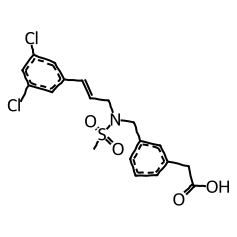 CS(=O)(=O)N(C/C=C/c1cc(Cl)cc(Cl)c1)Cc1cccc(CC(=O)O)c1